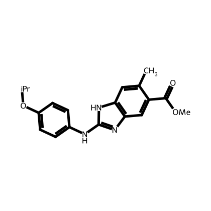 COC(=O)c1cc2nc(Nc3ccc(OC(C)C)cc3)[nH]c2cc1C